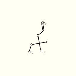 C=COC(F)(OC(F)(F)F)C(F)(F)F